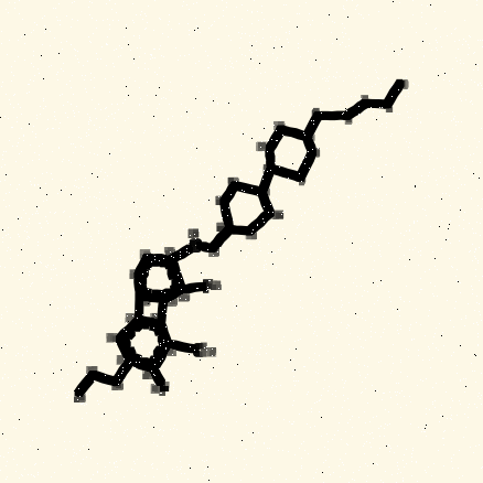 CCCCCC1CCC(C2CCC(COc3ccc4c(c3F)-c3c-4cc(CCC)c(F)c3Cl)CC2)CC1